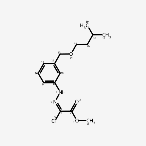 COC(=O)/C(Cl)=N\Nc1cccc(COCCC(C)C)c1